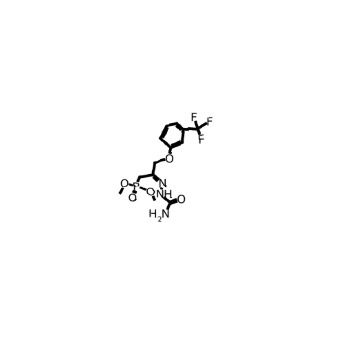 COP(=O)(CC(COc1cccc(C(F)(F)F)c1)=NNC(N)=O)OC